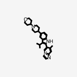 Cc1cc2nccn2cc1-c1[nH]c2ccc(C3CCN(C4CCOCC4)CC3)cc2c1C(C)C